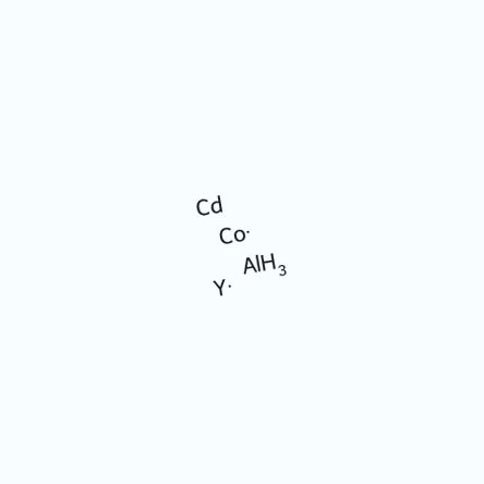 [AlH3].[Cd].[Co].[Y]